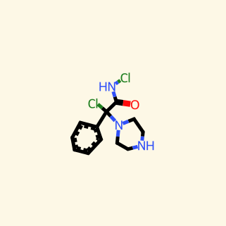 O=C(NCl)C(Cl)(c1ccccc1)N1CCNCC1